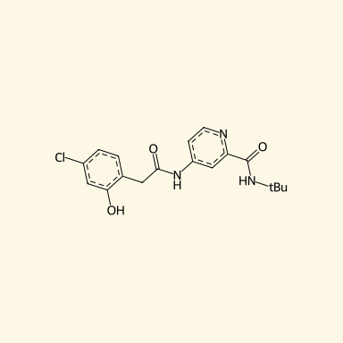 CC(C)(C)NC(=O)c1cc(NC(=O)Cc2ccc(Cl)cc2O)ccn1